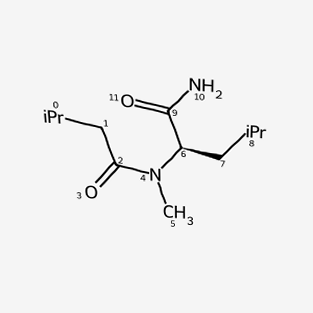 CC(C)CC(=O)N(C)[C@H](CC(C)C)C(N)=O